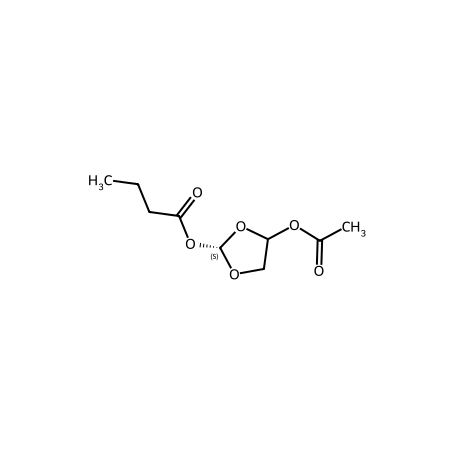 CCCC(=O)O[C@H]1OCC(OC(C)=O)O1